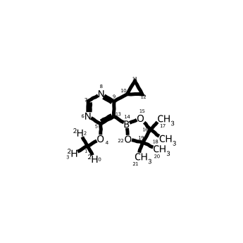 [2H]C([2H])([2H])Oc1ncnc(C2CC2)c1B1OC(C)(C)C(C)(C)O1